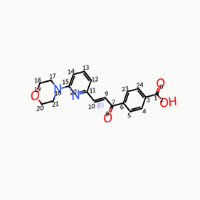 O=C(O)c1ccc(C(=O)/C=C/c2cccc(N3CCOCC3)n2)cc1